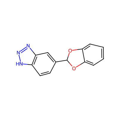 c1ccc2c(c1)OC(c1ccc3[nH]nnc3c1)O2